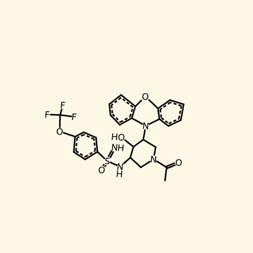 CC(=O)N1CC(NS(=N)(=O)c2ccc(OC(F)(F)F)cc2)C(O)C(N2c3ccccc3Oc3ccccc32)C1